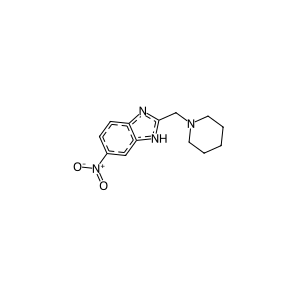 O=[N+]([O-])c1ccc2nc(CN3CCCCC3)[nH]c2c1